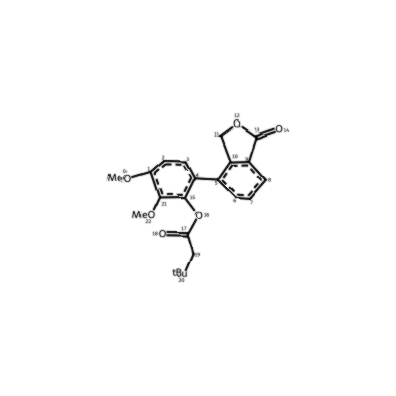 COc1ccc(-c2cccc3c2COC3=O)c(OC(=O)CC(C)(C)C)c1OC